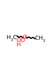 CCCCCCOC(=O)CC(O)CC